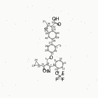 Cc1cc(OCc2c(-c3ccccc3OC(F)(F)F)noc2C2CC2)ccc1-c1ccc2c(C(=O)O)c(C)sc2c1